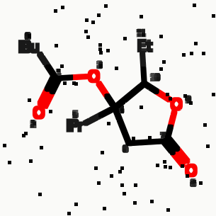 CCC(C)C(=O)OC1(C(C)C)CC(=O)OC1CC